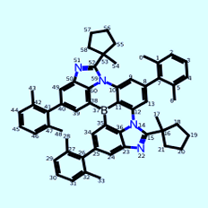 Cc1cccc(C)c1-c1cc2c3c(c1)-n1c(C4(C)CCCC4)nc4cc(-c5c(C)cccc5C)cc(c41)B3c1cc(-c3c(C)cccc3C)cc3nc(C4(C)CCCC4)n-2c13